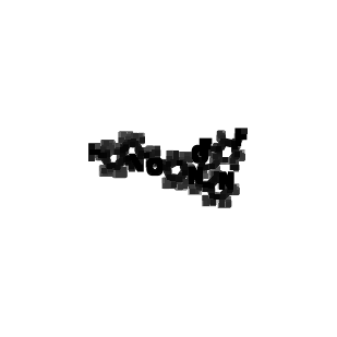 O=C(Cc1ccc(F)cc1F)N(Cc1cccnc1)c1ccc(OCc2ccc3cc(F)ccc3n2)cc1